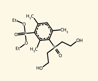 CCOP(=O)(OCC)c1c(C)cc(C)c(P(=O)(CCO)CCO)c1C